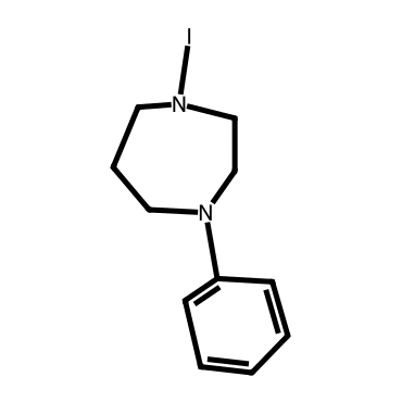 IN1CCCN(c2ccccc2)CC1